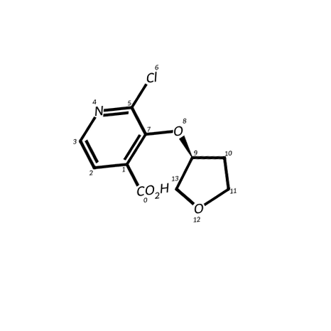 O=C(O)c1ccnc(Cl)c1O[C@H]1CCOC1